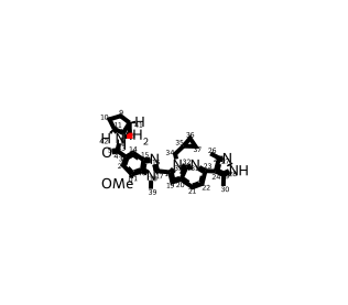 COc1cc(C(=O)N2C[C@H]3CC[C@@H]2[C@@H]3N)cc2nc(-c3cc4ccc(-c5c(C)n[nH]c5C)nc4n3CC3CC3)n(C)c12